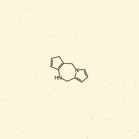 C1=CC2=C(C1)Cn1cccc1CN2